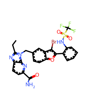 CCc1nc2ccc(C(N)=O)nc2n1Cc1ccc2oc(-c3ccccc3NS(=O)(=O)C(F)(F)F)c(Br)c2c1